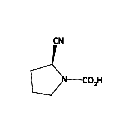 N#C[C@@H]1CCCN1C(=O)O